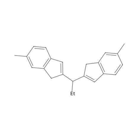 CCC(C1=Cc2ccc(C)cc2C1)C1=Cc2ccc(C)cc2C1